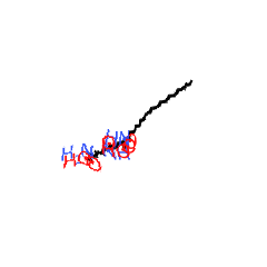 CCCCCCCCCCCCCCCCCCCC(=O)NC(CCC(=O)NCCCCC(N)C(=O)O)C(=O)O